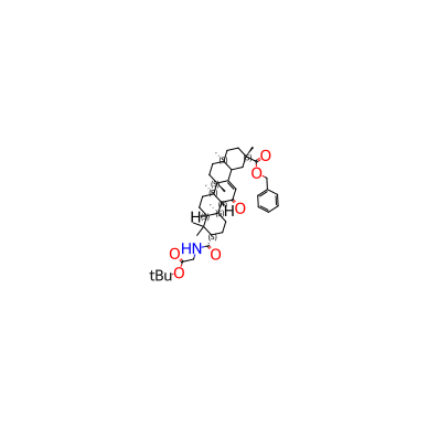 CC(C)(C)OC(=O)CNC(=O)[C@H]1CC[C@]2(C)[C@H]3C(=O)C=C4C5C[C@@](C)(C(=O)OCc6ccccc6)CC[C@]5(C)CC[C@@]4(C)[C@]3(C)CC[C@H]2C1(C)C